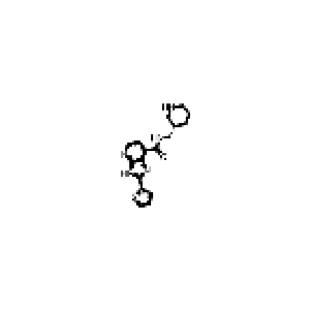 O=C(NC[C@H]1CCCNC1)c1ccnc2[nH]c(-c3cccs3)nc12